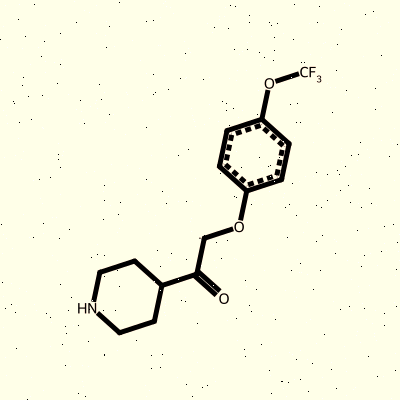 O=C([CH]Oc1ccc(OC(F)(F)F)cc1)C1CCNCC1